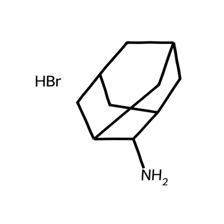 Br.NC1C2CC3CC(C2)CC1C3